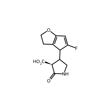 O=C(O)[C@@H]1C(=O)NCC1C1C(F)=CC2=C1CCO2